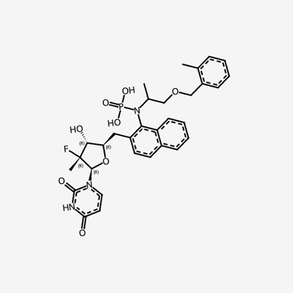 Cc1ccccc1COCC(C)N(c1c(C[C@H]2O[C@@H](n3ccc(=O)[nH]c3=O)[C@](C)(F)[C@@H]2O)ccc2ccccc12)P(=O)(O)O